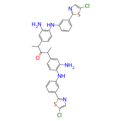 CC(C(=O)C(C)c1ccc(Nc2cccc(-c3ncc(Cl)s3)c2)c(N)c1)c1ccc(Nc2cccc(-c3ncc(Cl)s3)c2)c(N)c1